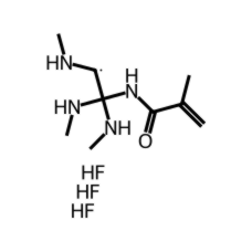 C=C(C)C(=O)NC([CH]NC)(NC)NC.F.F.F